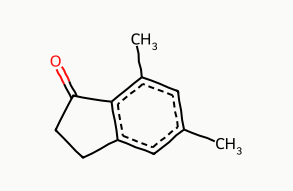 Cc1cc(C)c2c(c1)CCC2=O